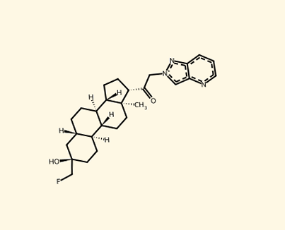 C[C@]12CC[C@H]3[C@@H](CC[C@H]4C[C@@](O)(CF)CC[C@@H]43)[C@@H]1CC[C@@H]2C(=O)Cn1cc2ncccc2n1